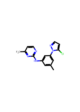 Cc1cc(Nc2nccc(C(F)(F)F)n2)cc(-n2nccc2Cl)c1